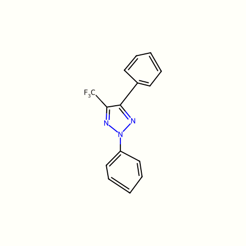 FC(F)(F)c1nn(-c2ccccc2)nc1-c1ccccc1